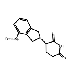 CC(C)Nc1cccc2c1CN(C1CCC(=O)NC1=O)C2